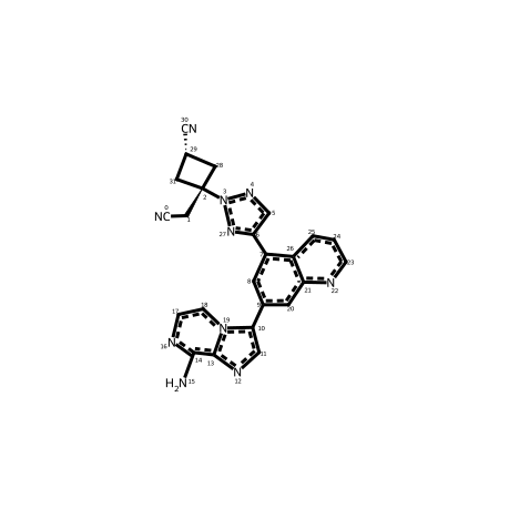 N#CC[C@]1(n2ncc(-c3cc(-c4cnc5c(N)nccn45)cc4ncccc34)n2)C[C@@H](C#N)C1